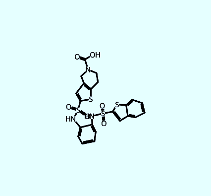 O=C(O)N1CCc2sc(S(=O)(=O)Nc3ccccc3NS(=O)(=O)c3cc4ccccc4s3)cc2C1